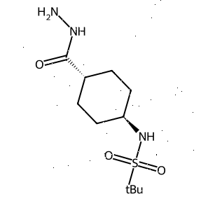 CC(C)(C)S(=O)(=O)N[C@H]1CC[C@H](C(=O)NN)CC1